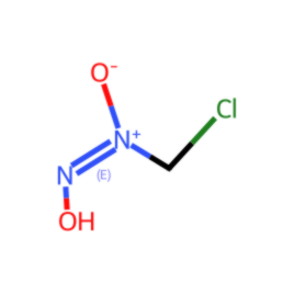 [O-]/[N+](CCl)=N/O